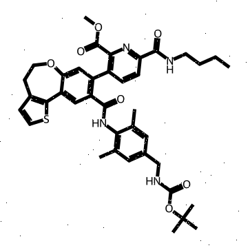 CCCCNC(=O)c1ccc(-c2cc3c(cc2C(=O)Nc2c(C)cc(CNC(=O)OC(C)(C)C)cc2C)-c2sccc2CCO3)c(C(=O)OC)n1